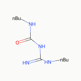 CCCCNC(=N)NC(=O)NCCCC